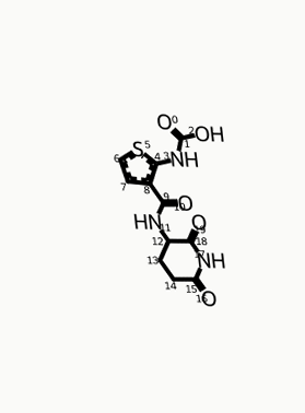 O=C(O)Nc1sccc1C(=O)NC1CCC(=O)NC1=O